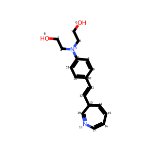 OCCN(CCO)c1ccc(/C=C/C2C=CC=CN=C2)cc1